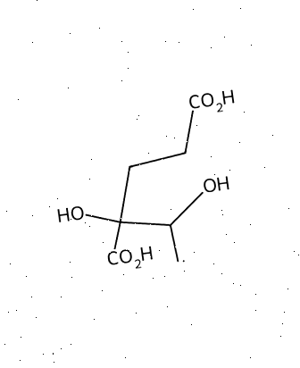 [CH2]C(O)C(O)(CCC(=O)O)C(=O)O